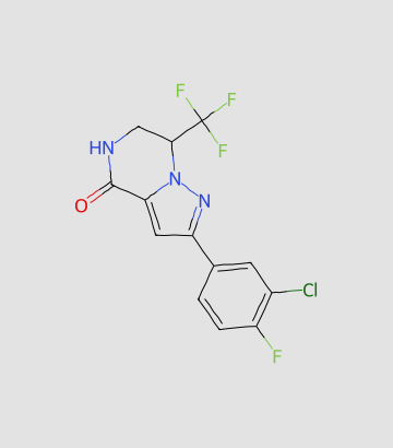 O=C1NCC(C(F)(F)F)n2nc(-c3ccc(F)c(Cl)c3)cc21